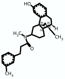 Cc1cccc(CCC(=O)N(C)C2CC[C@@]3(O)[C@H]4Cc5ccc(O)cc5[C@@]3(CCN4C)C2)c1